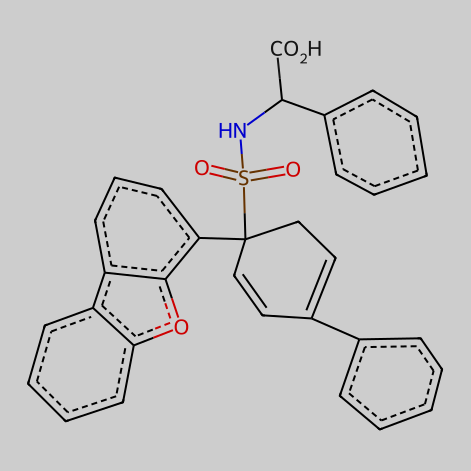 O=C(O)C(NS(=O)(=O)C1(c2cccc3c2oc2ccccc23)C=CC(c2ccccc2)=CC1)c1ccccc1